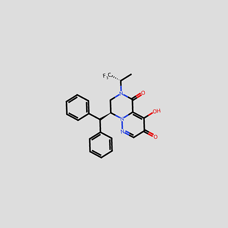 C[C@H](N1C[C@H](C(c2ccccc2)c2ccccc2)n2ncc(=O)c(O)c2C1=O)C(F)(F)F